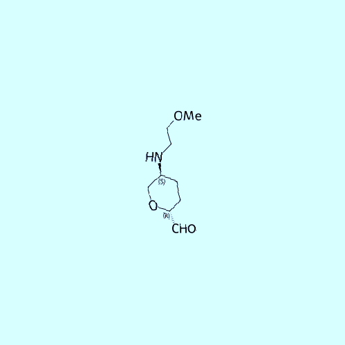 COCCN[C@H]1CC[C@H](C=O)OC1